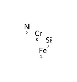 [Cr].[Fe].[Ni].[Si]